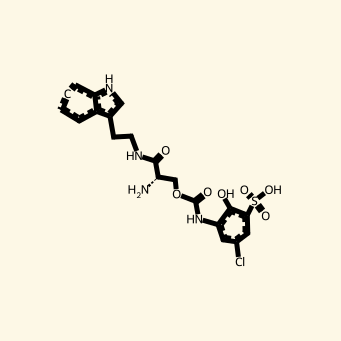 N[C@@H](COC(=O)Nc1cc(Cl)cc(S(=O)(=O)O)c1O)C(=O)NCCc1c[nH]c2ccccc12